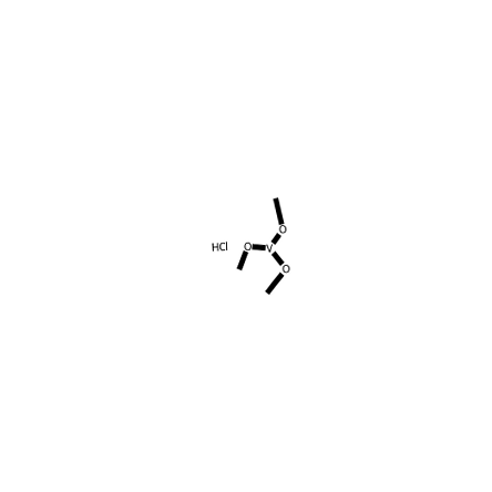 C[O][V]([O]C)[O]C.Cl